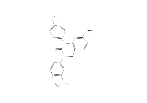 CCOc1ccc2c(n1)N(c1ccc(OC)cc1)C(=O)N(c1ccc3ncn(C)c3c1)C2